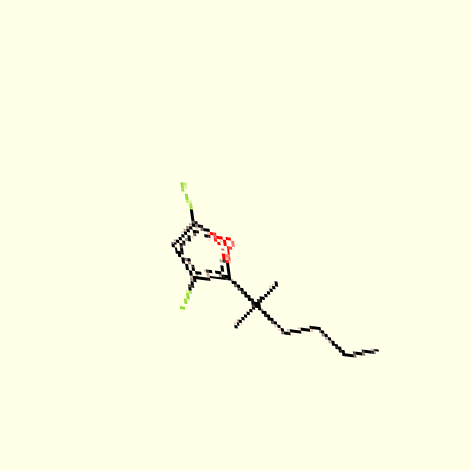 CCCCC(C)(C)c1oc(F)cc1F